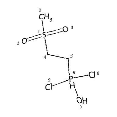 CS(=O)(=O)CC[PH](O)(Cl)Cl